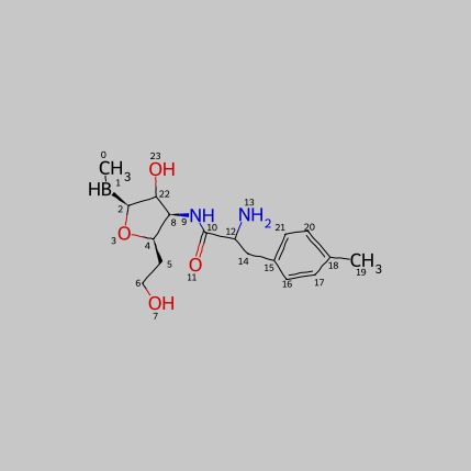 CB[C@@H]1O[C@H](CCO)[C@H](NC(=O)C(N)Cc2ccc(C)cc2)C1O